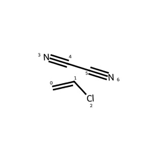 C=CCl.N#CC#N